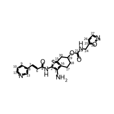 Nc1c(NC(=O)/C=C/c2cccnc2)sc2c1CCC(OC(=O)NCc1ccno1)C2